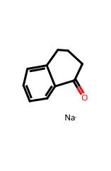 O=C1CCCc2ccccc21.[Na]